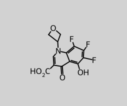 O=C(O)c1cn(C2COC2)c2c(F)c(F)c(F)c(O)c2c1=O